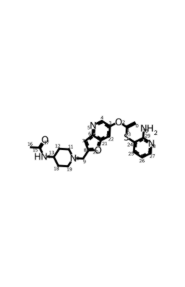 C=C(Oc1cnc2cc(CN3CCC(NC(C)=O)CC3)oc2c1)Sc1cccnc1N